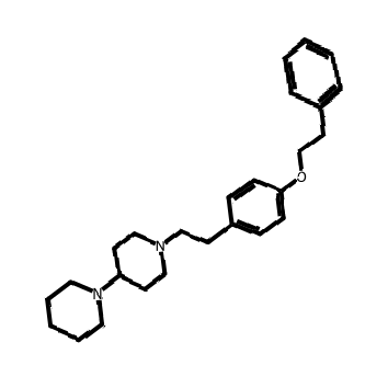 c1ccc(CCOc2ccc(CCN3CCC(N4CCCCC4)CC3)cc2)cc1